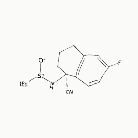 CC(C)(C)[S+]([O-])N[C@@]1(C#N)CCCc2cc(F)ccc21